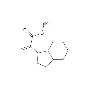 C=C(C(=O)OCCC)C1CCC2CCCCC21